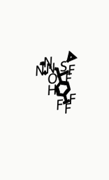 OC(Cn1cncn1)(c1ccc(C(F)(F)F)cc1)C(F)(F)SC1CC1